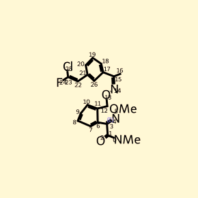 CNC(=O)/C(=N/OC)c1ccccc1CON=C(C)c1cccc(C=C(F)Cl)c1